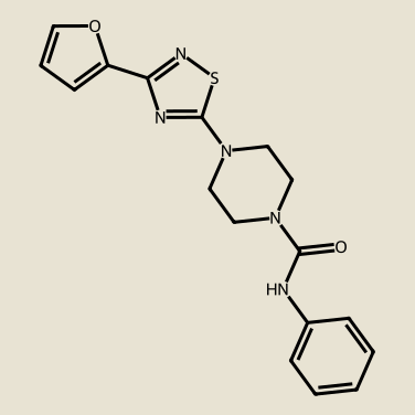 O=C(Nc1ccccc1)N1CCN(c2nc(-c3ccco3)ns2)CC1